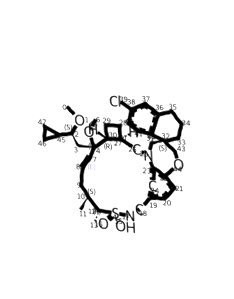 CO[C@@H](C[C@]1(OC)/C=C/C[C@H](C)[C@@H](C)S(=O)(=O)NCc2ccc3c(c2)N(C[C@@H]2CC[C@H]21)C[C@@]1(CCCc2cc(Cl)ccc21)CO3)C1CC1